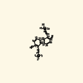 C[Si](C)(C)C#Cc1c(F)ccc2c1-c1ccc(F)c(C#C[Si](C)(C)C)c1-2